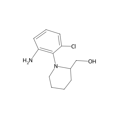 Nc1cccc(Cl)c1N1CCCCC1CO